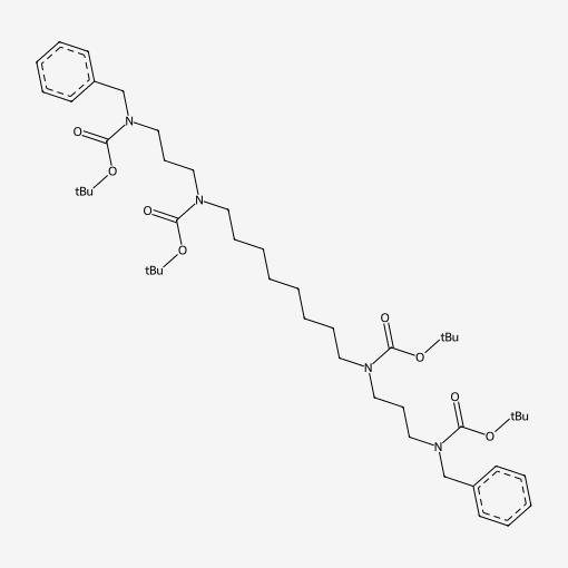 CC(C)(C)OC(=O)N(CCCCCCCCN(CCCN(Cc1ccccc1)C(=O)OC(C)(C)C)C(=O)OC(C)(C)C)CCCN(Cc1ccccc1)C(=O)OC(C)(C)C